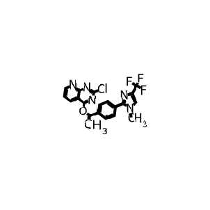 CC(Oc1nc(Cl)nc2ncccc12)c1ccc(-c2nc(C(F)(F)F)cn2C)cc1